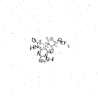 CCCc1nc2c(c(=O)n1S)C(c1ccc(OC(F)(F)F)cc1)CC(=O)N2